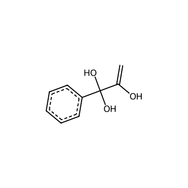 C=C(O)C(O)(O)c1ccccc1